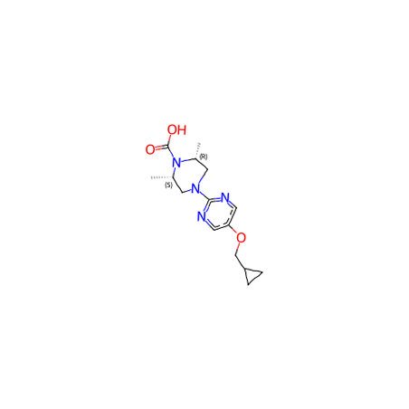 C[C@@H]1CN(c2ncc(OCC3CC3)cn2)C[C@H](C)N1C(=O)O